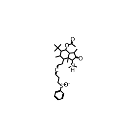 CC(=O)OC1C(C(C)(C)C)C(C)C(CC=C=CCC[S+]([O-])c2ccccc2)C2(C)C1C(C)C(=O)C2[SiH](C)C